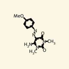 COc1ccc(/N=N/c2c(N)n(C)c(=O)n(C)c2=O)cc1